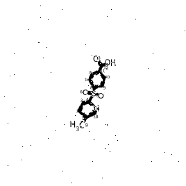 Cc1ccc(S(=O)(=O)c2ccc(C(=O)O)cc2)nc1